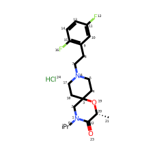 CC(C)N1CC2(CCN(CCc3cc(F)ccc3F)CC2)O[C@H](C)C1=O.Cl